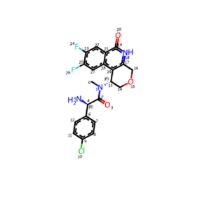 CN(C(=O)[C@H](N)c1ccc(Cl)cc1)[C@H]1COCc2[nH]c(=O)c3cc(F)c(F)cc3c21